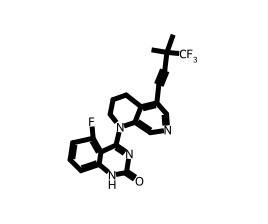 CC(C)(C#Cc1cncc2c1CCCN2c1nc(=O)[nH]c2cccc(F)c12)C(F)(F)F